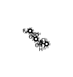 COc1cc(-n2nc(-c3c(C)cccc3Cl)[nH]c2=O)ccc1C(=O)Nc1cccc(CF)c1